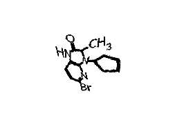 CC1C(=O)Nc2ccc(Br)nc2N1C1CCCC1